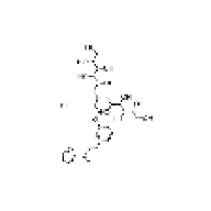 Cl.O=C(SCc1cccc(OCCN(C[C@H](O)[C@@H](O)[C@H](O)[C@H](O)CO)C[C@H](O)[C@@H](O)[C@H](O)[C@H](O)CO)c1)c1ccco1